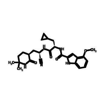 COc1cccc2[nH]c(C(=O)N[C@@H](CC3CC3)C(=O)N[C@H](C#N)C[C@@H]3CCC(C)(C)NC3=O)cc12